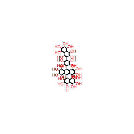 Oc1c(O)c(-c2c3c(O)c(O)c(O)c(O)c3c(-c3c(O)c(O)c(O)c4c(O)c(O)c(O)c(O)c34)c3c(O)c(O)c(O)c(O)c23)c(O)c(O)c1-c1c(O)c(O)c2c(O)c(O)c(O)c(O)c2c1O